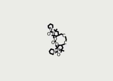 CC1(C)CC2CCCCCCC3CC(C)(C)N(C(=O)N4CCCCC4)C(C)(C)C3OC(=O)OC2C(C)(C)N1C(=O)N1CCCCC1